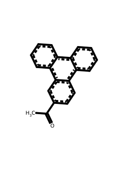 CC(=O)c1ccc2c3ccccc3c3ccccc3c2c1